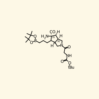 CC(C)(C)OC(=O)NCC(=O)N1C[C@@H]2C[C@@](N)(C(=O)O)C(CCCB3OC(C)(C)C(C)(C)O3)[C@@H]2C1